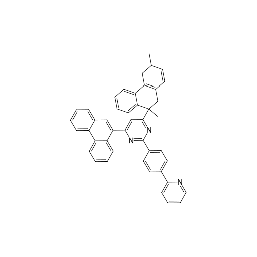 CC1C=CC2=C(C1)c1ccccc1C(C)(c1cc(-c3cc4ccccc4c4ccccc34)nc(-c3ccc(-c4ccccn4)cc3)n1)C2